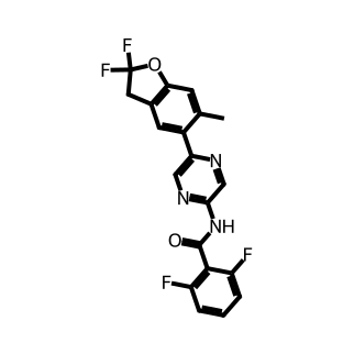 Cc1cc2c(cc1-c1cnc(NC(=O)c3c(F)cccc3F)cn1)CC(F)(F)O2